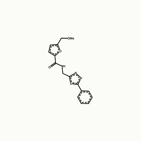 COCc1ccc(C(=O)NCc2nnc(-c3ccccc3)s2)o1